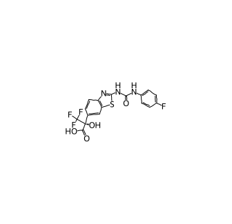 O=C(Nc1ccc(F)cc1)Nc1nc2ccc([C@](O)(C(=O)O)C(F)(F)F)cc2s1